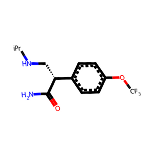 CC(C)NC[C@@H](C(N)=O)c1ccc(OC(F)(F)F)cc1